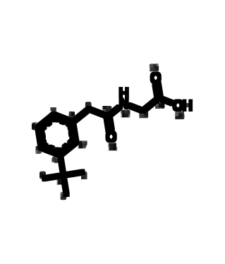 CC(C)(C)c1cccc(CC(=O)NCC(=O)O)c1